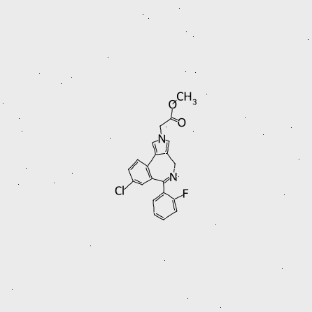 COC(=O)Cn1cc2c(c1)-c1ccc(Cl)cc1C(c1ccccc1F)=NC2